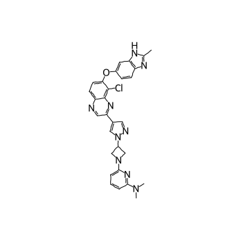 Cc1nc2ccc(Oc3ccc4ncc(-c5cnn(C6CN(c7cccc(N(C)C)n7)C6)c5)nc4c3Cl)cc2[nH]1